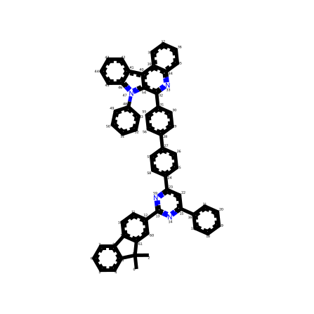 CC1(C)c2ccccc2-c2ccc(-c3nc(-c4ccccc4)cc(-c4ccc(-c5ccc(-c6nc7ccccc7c7c8ccccc8n(-c8ccccc8)c67)cc5)cc4)n3)cc21